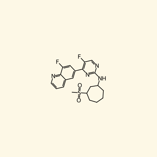 CS(=O)(=O)C1CCCCC(Nc2ncc(F)c(-c3cc(F)c4ncccc4c3)n2)C1